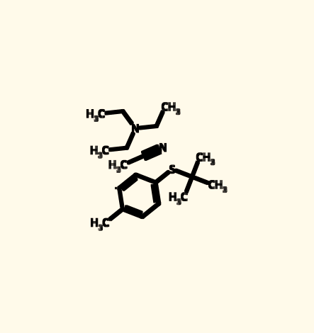 CC#N.CCN(CC)CC.Cc1[c]cc(SC(C)(C)C)cc1